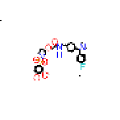 COc1ccc(S(=O)(=O)N2CCC(OCC(=O)NCC3CCC(C(c4ccc(F)cc4)N(C)C)CC3)C2)cc1OC